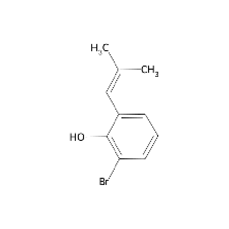 CC(C)=Cc1cccc(Br)c1O